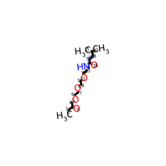 CCC(=O)COCCOCCOCCNC(=O)/C=C/C(C)C